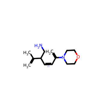 C=C(C)C(/C=C\C(=C)N1CCOCC1)CN